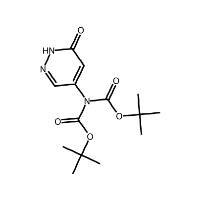 CC(C)(C)OC(=O)N(C(=O)OC(C)(C)C)c1cn[nH]c(=O)c1